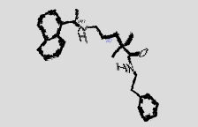 C[C@@H](NC/C=C/C(C)(C)C(=O)NCCc1ccccc1)c1cccc2ccccc12